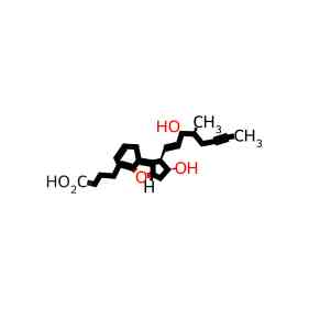 CC#CC[C@H](C)[C@H](O)/C=C/[C@@H]1C2=C3CC=CC(CCCC(=O)O)=C3O[C@H]2C[C@H]1O